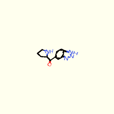 O=C(c1ccc2[nH]nnc2c1)C1CCCN1